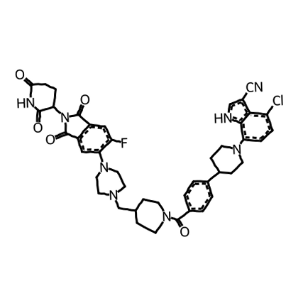 N#Cc1c[nH]c2c(N3CCC(c4ccc(C(=O)N5CCC(CN6CCN(c7cc8c(cc7F)C(=O)N(C7CCC(=O)NC7=O)C8=O)CC6)CC5)cc4)CC3)ccc(Cl)c12